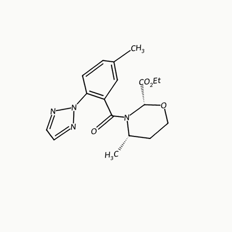 CCOC(=O)[C@@H]1OCC[C@H](C)N1C(=O)c1cc(C)ccc1-n1nccn1